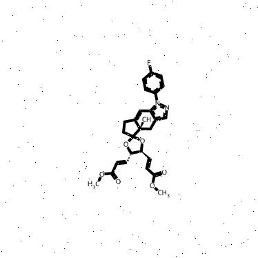 COC(=O)/C=C/[C@@H]1OC2(CCC3=Cc4c(cnn4-c4ccc(F)cc4)C[C@@]32C)O[C@H]1/C=C/C(=O)OC